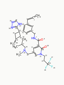 C=C=Cc1cc(CNC(=O)c2cc(CN(C)CC(C)C)cn(CCC(F)(F)F)c2=O)cc([C@]2(c3nnc[nH]3)C[C@@H](C)C2)c1